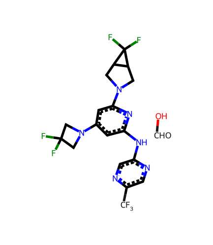 FC1(F)CN(c2cc(Nc3cnc(C(F)(F)F)cn3)nc(N3CC4C(C3)C4(F)F)c2)C1.O=CO